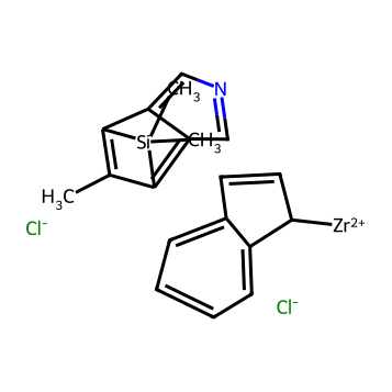 CC1=C2C3=CN=CC3=C1[Si]2(C)C.[Cl-].[Cl-].[Zr+2][CH]1C=Cc2ccccc21